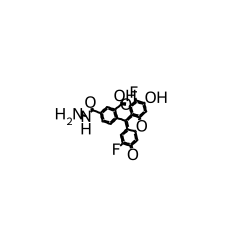 NNC(=O)c1ccc(-c2c3cc(F)c(=O)cc-3oc3cc(O)c(F)cc23)c(C(=O)O)c1